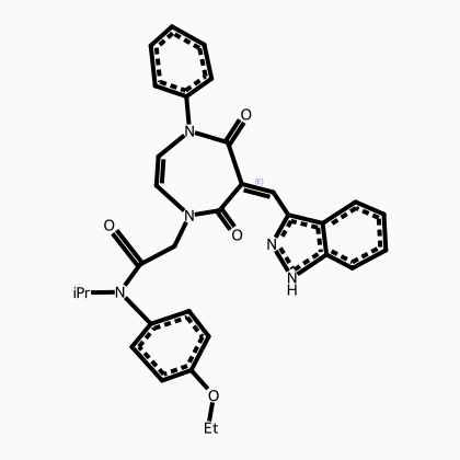 CCOc1ccc(N(C(=O)CN2C=CN(c3ccccc3)C(=O)/C(=C/c3n[nH]c4ccccc34)C2=O)C(C)C)cc1